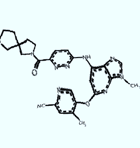 Cc1cc(C#N)ncc1Oc1cc(Nc2ccc(C(=O)N3CCC4(CCOC4)C3)nn2)c2ncn(C)c2n1